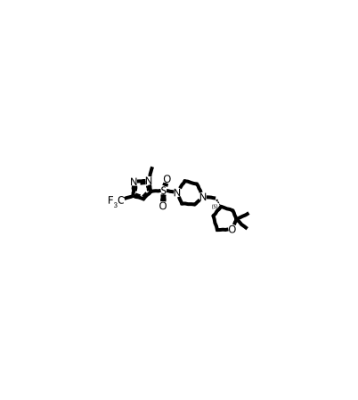 Cn1nc(C(F)(F)F)cc1S(=O)(=O)N1CCN(C[C@H]2CCOC(C)(C)C2)CC1